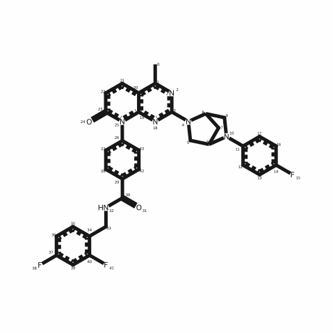 Cc1nc(N2CC3CC2CN3c2ccc(F)cc2)nc2c1ccc(=O)n2-c1ccc(C(=O)NCc2ccc(F)cc2F)cc1